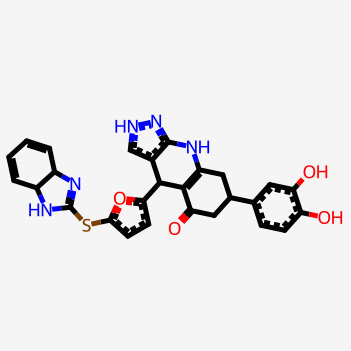 O=C1CC(c2ccc(O)c(O)c2)CC2=C1C(c1ccc(SC3=NC4C=CC=CC4N3)o1)c1c[nH]nc1N2